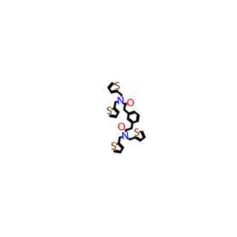 O=C(Cc1cccc(CC(=O)N(Cc2cccs2)Cc2cccs2)c1)N(Cc1cccs1)Cc1cccs1